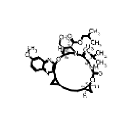 CC[C@@H]1[C@@H]2CN(C(=O)[C@H](C(C)(C)C)NC(=O)O[C@@H]3C[C@H]3CCCC3CC3c3nc4ccc(OC)cc4nc3O2)[C@@H]1C(=O)OCC(C)C